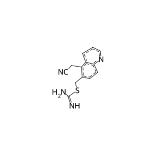 N#CCc1c(CSC(=N)N)ccc2ncccc12